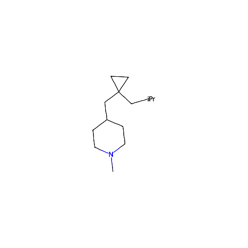 CC(C)CC1(CC2CCN(C)CC2)CC1